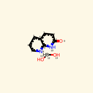 O=c1ccc2cccnc2[nH]1.OBO